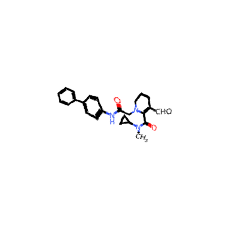 CN(C(=O)C1=C(C=O)CCCN1CC(=O)Nc1ccc(-c2ccccc2)cc1)C1CC1